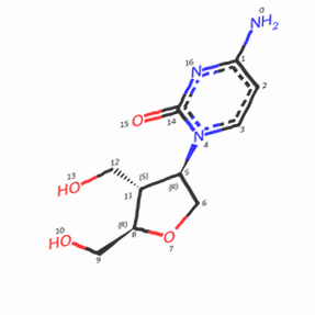 Nc1ccn([C@H]2CO[C@@H](CO)[C@@H]2CO)c(=O)n1